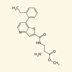 CCc1ccccc1-c1ccnc2cc(C(=O)NC[C@@H](N)C(=O)OC)sc12